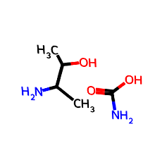 CC(N)C(C)O.NC(=O)O